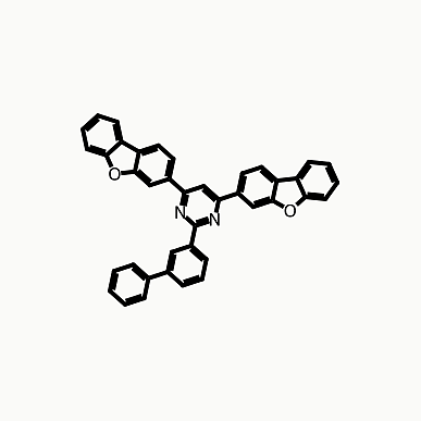 c1ccc(-c2cccc(-c3nc(-c4ccc5c(c4)oc4ccccc45)cc(-c4ccc5c(c4)oc4ccccc45)n3)c2)cc1